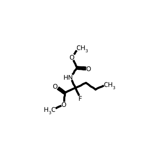 CCCC(F)(NC(=O)OC)C(=O)OC